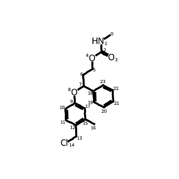 CNC(=O)OCCC(Oc1ccc(CCl)c(C)c1)c1ccccc1